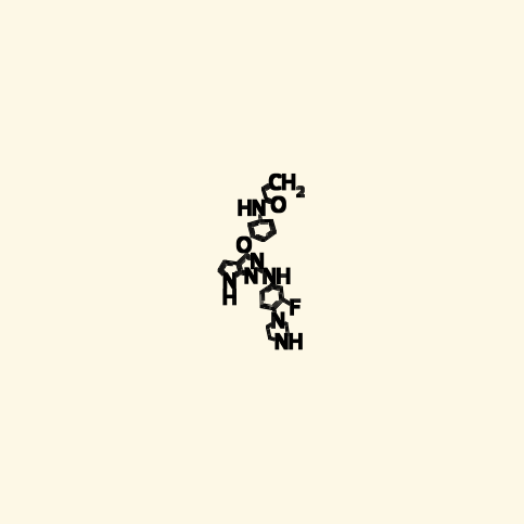 C=CC(=O)Nc1cccc(Oc2nc(Nc3ccc(N4CCNCC4)c(F)c3)nc3[nH]ccc23)c1